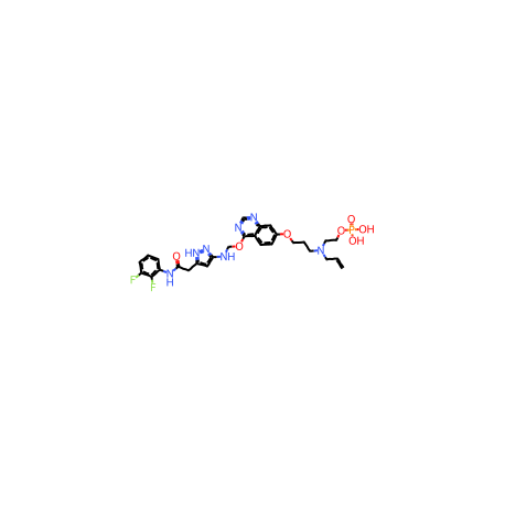 C=CCN(CCCOc1ccc2c(OCNc3cc(CC(=O)Nc4cccc(F)c4F)[nH]n3)ncnc2c1)CCOP(=O)(O)O